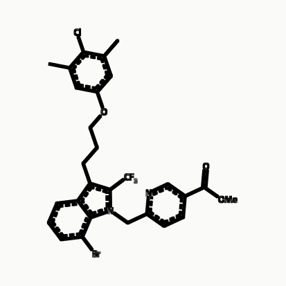 COC(=O)c1ccc(Cn2c(C(F)(F)F)c(CCCOc3cc(C)c(Cl)c(C)c3)c3cccc(Br)c32)nc1